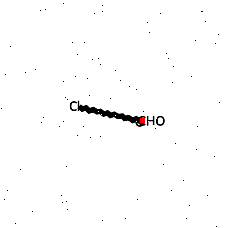 O=[C]OCCCCCCCCCCCCCCCCCl